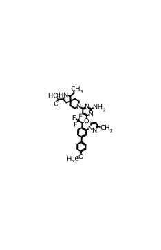 CCC1NC(C(=O)O)CC12CCN(c1cc(O[C@H](c3ccc(-c4ccc(OC)cc4)cc3-n3ccc(C)n3)C(F)(F)F)nc(N)n1)CC2